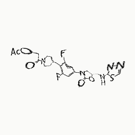 CC(=O)OCC(=O)N1CC=C(c2c(F)cc(N3C[C@H](CNc4nncs4)OC3=O)cc2F)CC1